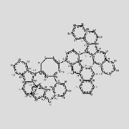 C1=C(c2ccc(-n3c4cc5ccccc5cc4c4ccc5ccccc5c43)c3c2oc2c4ccccc4ccc23)/N=C(c2cccc3oc4ccccc4c23)\N=C(\n2c3ccccc3c3ccccc32)CC\1